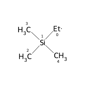 C[CH][Si](C)(C)C